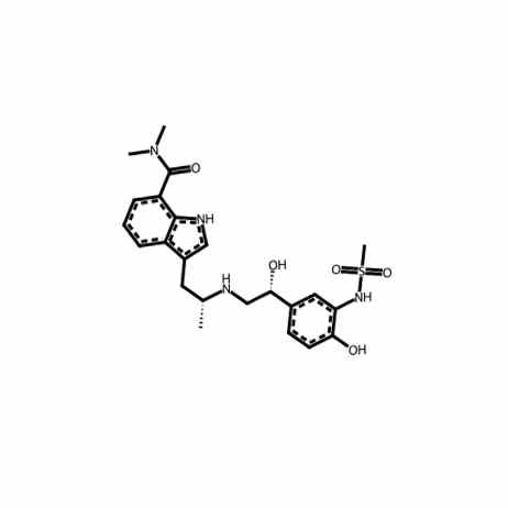 C[C@H](Cc1c[nH]c2c(C(=O)N(C)C)cccc12)NC[C@H](O)c1ccc(O)c(NS(C)(=O)=O)c1